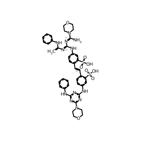 C=C(/N=C(\N=C(/N)N1CCOCC1)Nc1ccc(/C=C/c2ccc(Nc3nc(Nc4ccccc4)nc(N4CCOCC4)n3)cc2S(=O)(=O)O)c(S(=O)(=O)O)c1)Nc1ccccc1